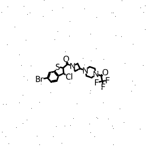 O=C(C1Sc2cc(Br)ccc2C1Cl)N1CC(N2CCN(C(=O)C(F)(F)F)CC2)C1